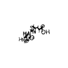 O=C(O)CCc1csc(N2C[C@@H]3CNCCN3C2=O)n1